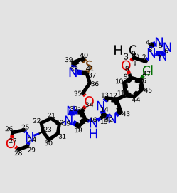 C[C@@H](Cn1cnnn1)Oc1cc(-c2cnc(Nc3cn([C@H]4CC[C@H](N5CCOCC5)CC4)nc3OCCc3nccs3)nc2)ccc1Cl